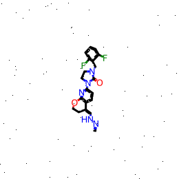 C=NN/C=C1\CCOc2nc(N3CCN(Cc4c(F)cccc4F)C3=O)ccc21